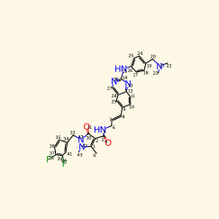 Cc1c(C(=O)NCC=Cc2ccc3nc(Nc4ccc(CN(C)C)cc4)ncc3c2)c(=O)n(Cc2ccc(F)c(F)c2)n1C